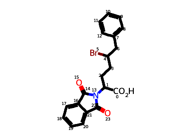 O=C(O)C(CCC(Br)Cc1ccccc1)N1C(=O)c2ccccc2C1=O